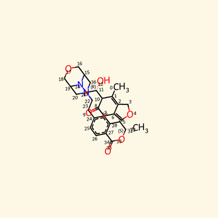 CC1=C2COC=C2CC(=O)C1[C@@H](O)CN1C2COCC1CN(CCc1ccc3c(c1)C[C@H](C)OC3=O)C2